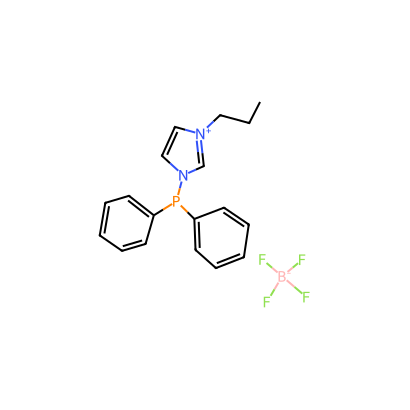 CCC[n+]1ccn(P(c2ccccc2)c2ccccc2)c1.F[B-](F)(F)F